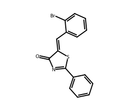 O=C1N=C(c2ccccc2)SC1=Cc1ccccc1Br